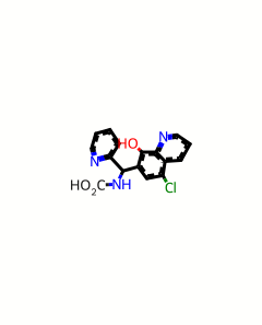 O=C(O)NC(c1ccccn1)c1cc(Cl)c2cccnc2c1O